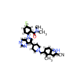 Cc1c(CN2CCC(c3cn(-c4ccc(F)cc4C(=O)N(C)C)c4cncnc34)CC2)ccc2[nH]c(C#N)cc12